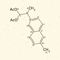 CC(=O)OC(OC(C)=O)C(C)c1ccc2cc(C)ccc2c1